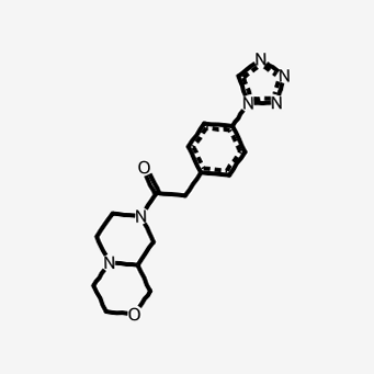 O=C(Cc1ccc(-n2cnnn2)cc1)N1CCN2CCOCC2C1